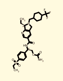 CC[C@@H]1c2ncc(C(=O)N[C@@H](COC(N)=O)c3ccc(S(=O)(=O)CC)cc3)cc2CN1CC1CCC(C(F)(F)F)CC1